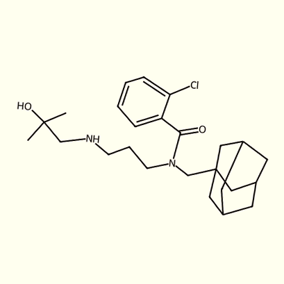 CC(C)(O)CNCCCN(CC12CC3CC(CC(C3)C1)C2)C(=O)c1ccccc1Cl